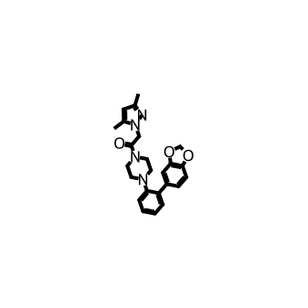 Cc1cc(C)n(CC(=O)N2CCN(c3ccccc3-c3ccc4c(c3)OCO4)CC2)n1